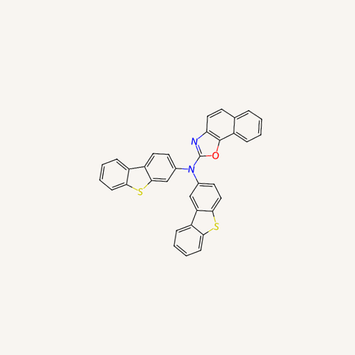 c1ccc2c(c1)ccc1nc(N(c3ccc4c(c3)sc3ccccc34)c3ccc4sc5ccccc5c4c3)oc12